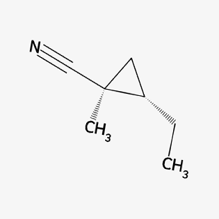 CC[C@H]1C[C@]1(C)C#N